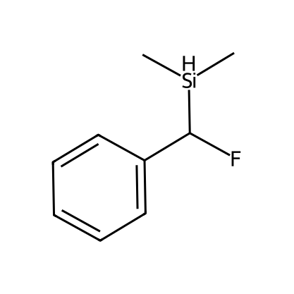 C[SiH](C)C(F)c1ccccc1